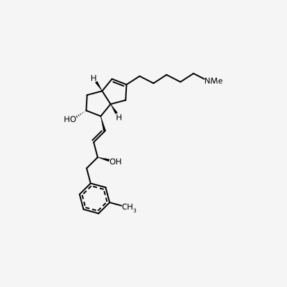 CNCCCCCC1=C[C@H]2C[C@@H](O)[C@H](/C=C/[C@@H](O)Cc3cccc(C)c3)[C@H]2C1